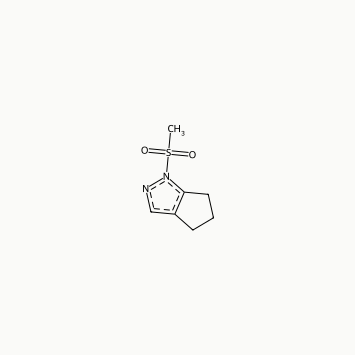 CS(=O)(=O)n1ncc2c1CCC2